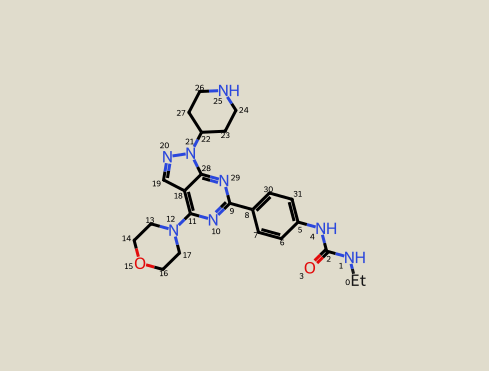 CCNC(=O)Nc1ccc(-c2nc(N3CCOCC3)c3cnn(C4CCNCC4)c3n2)cc1